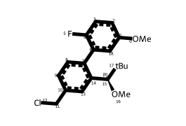 COc1ccc(F)c(-c2ccc(CCl)cc2[C@H](OC)C(C)(C)C)c1